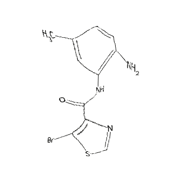 Cc1ccc(N)c(NC(=O)c2ncsc2Br)c1